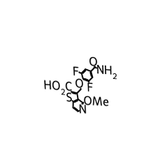 COc1nccc2sc(C(=O)O)c(COc3c(F)cc(C(N)=O)cc3F)c12